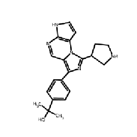 CC(C)(O)c1ccc(-c2nc(C3CCNC3)n3c2cnc2[nH]ccc23)cc1